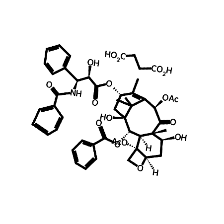 CC(=O)O[C@H]1C(=O)[C@@]2(C)[C@H]([C@H](OC(=O)c3ccccc3)[C@]3(O)C[C@H](OC(=O)[C@H](O)[C@@H](NC(=O)c4ccccc4)c4ccccc4)C(C)=C1C3(C)C)[C@]1(OC(C)=O)CO[C@@H]1C[C@@H]2O.O=C(O)CCC(=O)O